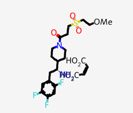 COCCS(=O)(=O)CCC(=O)N1CCC([C@H](N)Cc2cc(F)c(F)cc2F)CC1.O=C(O)/C=C\C(=O)O